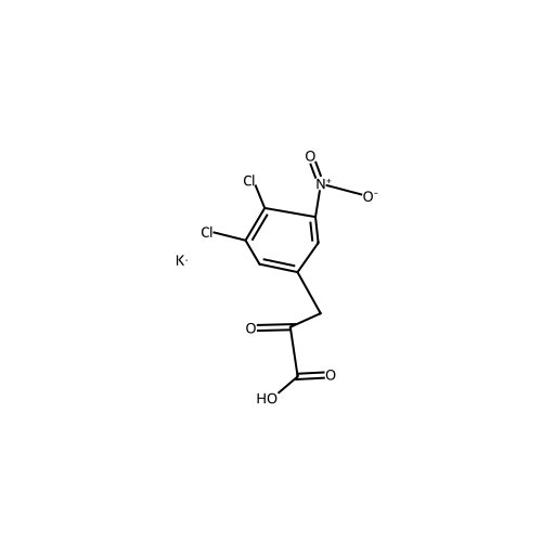 O=C(O)C(=O)Cc1cc(Cl)c(Cl)c([N+](=O)[O-])c1.[K]